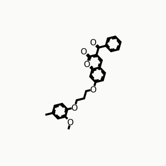 COc1cc(C)ccc1OCCCOc1ccc2cc(C(=O)c3ccccc3)c(=O)oc2c1